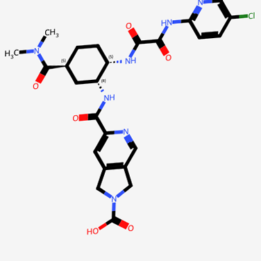 CN(C)C(=O)[C@H]1CC[C@H](NC(=O)C(=O)Nc2ccc(Cl)cn2)[C@H](NC(=O)c2cc3c(cn2)CN(C(=O)O)C3)C1